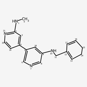 CNc1cc(-c2cncc(NCC3=CCCC=C3)c2)ccn1